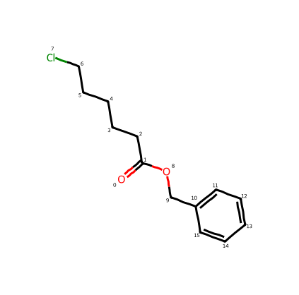 O=C(CCCCCCl)OCc1ccccc1